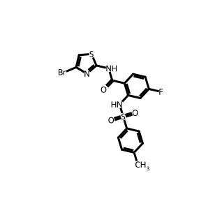 Cc1ccc(S(=O)(=O)Nc2cc(F)ccc2C(=O)Nc2nc(Br)cs2)cc1